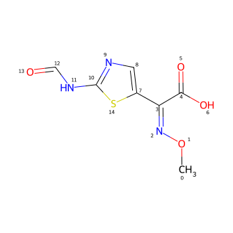 CO/N=C(\C(=O)O)c1cnc(NC=O)s1